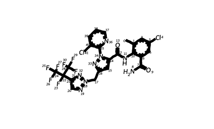 Cc1cc(Cl)cc(C(N)=O)c1NC(=O)c1cc(Cn2ncc(C(F)(C(F)(F)F)C(F)(F)F)n2)nn1-c1ncccc1Cl